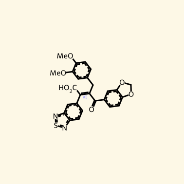 COc1ccc(C/C(C(=O)c2ccc3c(c2)OCO3)=C(\C(=O)O)c2ccc3nsnc3c2)cc1OC